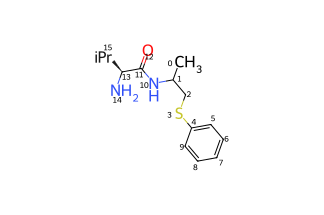 CC(CSc1ccccc1)NC(=O)[C@@H](N)C(C)C